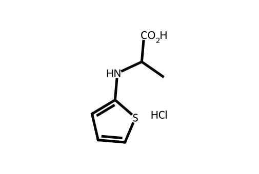 CC(Nc1cccs1)C(=O)O.Cl